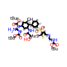 CSc1sc(N=CNC(=O)OC(C)(C)C)cc1S(=O)(=O)c1cccc(-c2c(C)cc(N(C(=O)OC(C)(C)C)C(N)=NC(=O)OC(C)(C)C)cc2NC(=O)CO)c1